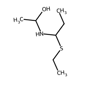 CCSC(CC)NC(C)O